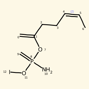 C=C(CC/C=C\C)OP(=C)(N)OI